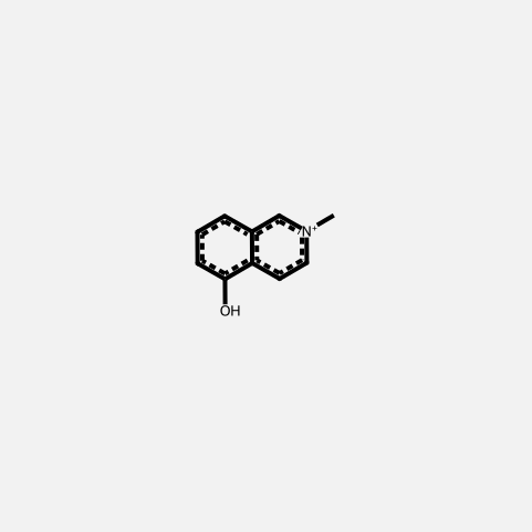 C[n+]1ccc2c(O)cccc2c1